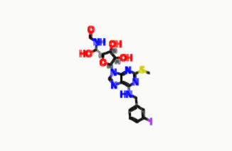 CSc1nc(NCc2cccc(I)c2)c2ncn([C@@H]3O[C@H](C(O)NC=O)[C@@H](O)[C@H]3O)c2n1